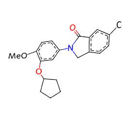 COc1ccc(N2Cc3ccc(C#N)cc3C2=O)cc1OC1CCCC1